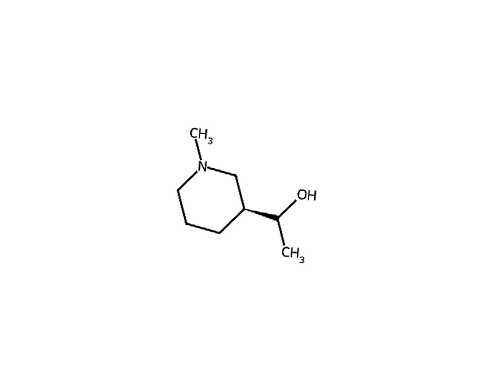 CC(O)[C@H]1CCCN(C)C1